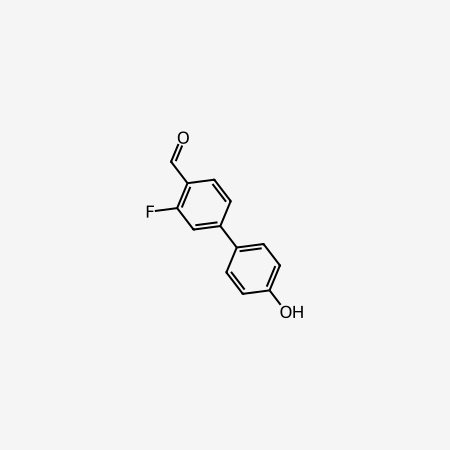 O=Cc1ccc(-c2ccc(O)cc2)cc1F